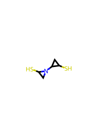 SC1CC1N1CC1S